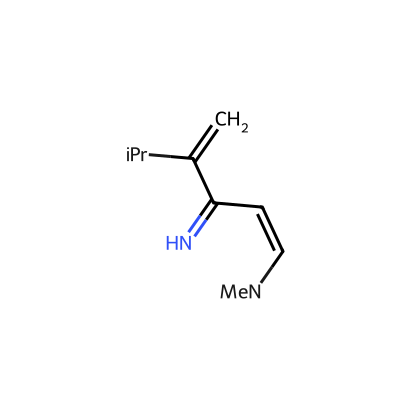 C=C(C(=N)/C=C\NC)C(C)C